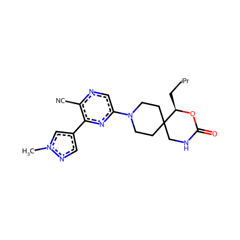 CC(C)C[C@H]1OC(=O)NCC12CCN(c1cnc(C#N)c(-c3cnn(C)c3)n1)CC2